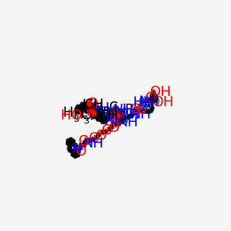 CC(C)[C@H](NC(=O)[C@@H](CCCCNC(=O)COC1CCCCC/C(N[C@@H]2C[C@@H](O)C[C@@H](CO)O2)=C\1N=N)NC(=O)CCOCCOCCOCCOCCNC(=O)CCC(=O)N1Cc2ccccc2C#Cc2ccccc21)C(=O)N[C@@H](C)C(=O)N[C@@H](C=O)C(=O)Nc1ccc2c(c1)[C@@]1(C)CCC[C@](C)(C(=O)NC(=O)[C@@]3(C)CCC[C@]4(C)c5cc(O)ccc5CC[C@@H]34)[C@@H]1CC2